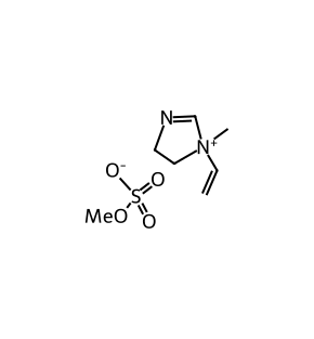 C=C[N+]1(C)C=NCC1.COS(=O)(=O)[O-]